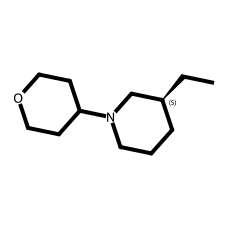 CC[C@H]1CCCN(C2CCOCC2)C1